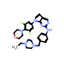 CCN1CCN(Cc2ccc(Nc3ncc4ccn(-c5cc(F)c(N6CCOCC6)c(F)c5)c4n3)cc2)CC1